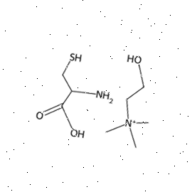 C[N+](C)(C)CCO.NC(CS)C(=O)O